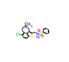 CN1CCc2c(Cl)ccc3sc(CNS(=O)(=O)c4ccccc4)c(c23)C1